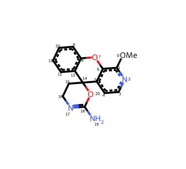 COc1nccc2c1Oc1ccccc1C21CCN=C(N)O1